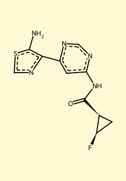 Nc1scnc1-c1cc(NC(=O)[C@H]2C[C@H]2F)ncn1